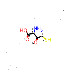 N[C@H](C(=O)O)C(=O)CS